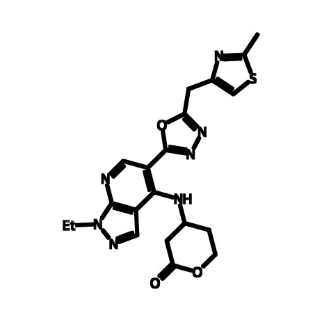 CCn1ncc2c(NC3CCOC(=O)C3)c(-c3nnc(Cc4csc(C)n4)o3)cnc21